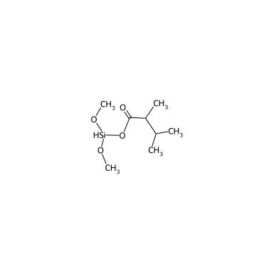 CO[SiH](OC)OC(=O)C(C)C(C)C